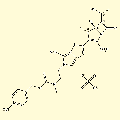 CSc1c2sc(C3=C(C(=O)O)N4C(=O)[C@H]([C@@H](C)O)[C@H]4[C@H]3C)c[n+]2cn1CCN(C)C(=O)OCc1ccc([N+](=O)[O-])cc1.O=S(=O)([O-])C(F)(F)F